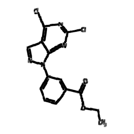 CCOC(=O)c1cccc(-n2ncc3c(Cl)nc(Cl)nc32)c1